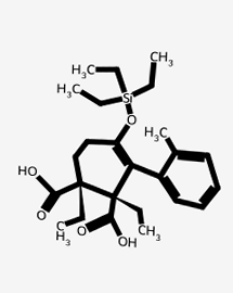 CC[C@@]1(C(=O)O)CCC(O[Si](CC)(CC)CC)=C(c2ccccc2C)[C@]1(CC)C(=O)O